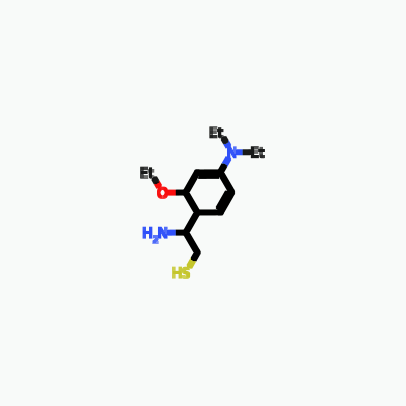 CCOC1C=C(N(CC)CC)C=CC1C(N)CS